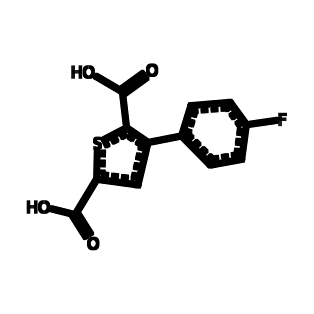 O=C(O)c1cc(-c2ccc(F)cc2)c(C(=O)O)s1